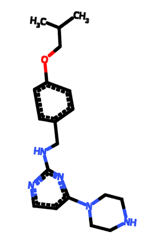 CC(C)COc1ccc(CNc2nccc(N3CCNCC3)n2)cc1